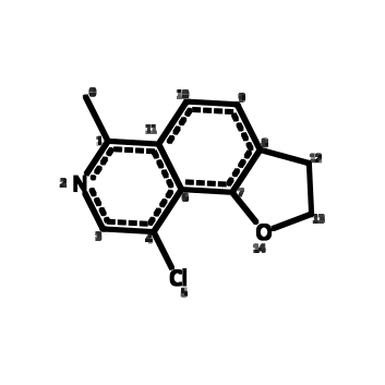 Cc1ncc(Cl)c2c3c(ccc12)CCO3